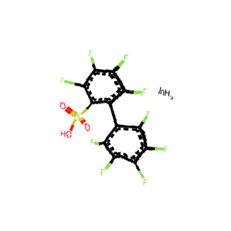 O=S(=O)(O)c1c(F)c(F)c(F)c(F)c1-c1c(F)c(F)c(F)c(F)c1F.[InH3]